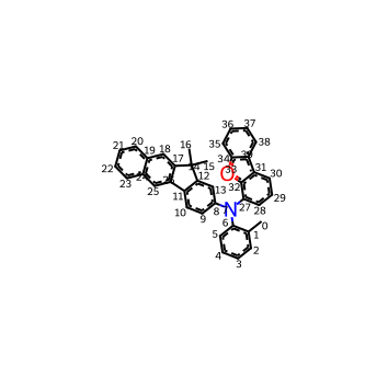 Cc1ccccc1N(c1ccc2c(c1)C(C)(C)c1cc3ccccc3cc1-2)c1cccc2c1oc1ccccc12